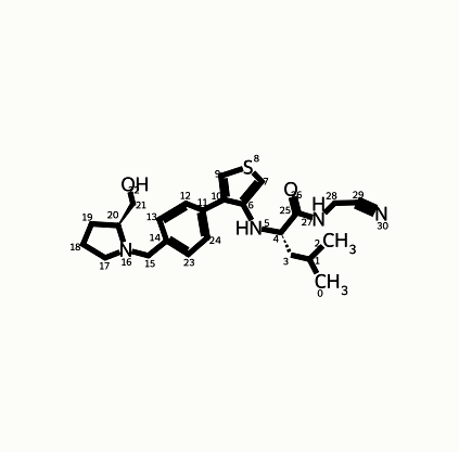 CC(C)C[C@H](Nc1cscc1-c1ccc(CN2CCC[C@H]2CO)cc1)C(=O)NCC#N